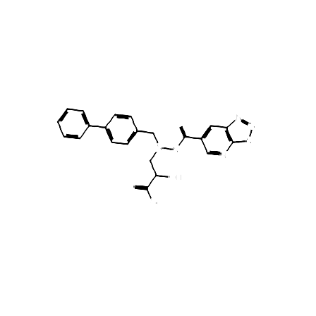 O=C(NN(Cc1ccc(-c2ccccc2)cc1)CC(O)C(=O)O)c1cnc2[nH]nnc2c1